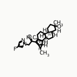 C[C@@H]1C2=C(C(=O)Cn3cc(F)cn3)[C@@]3(C)CC[C@H]4[C@@H](CC[C@@H]5C[C@](C)(O)CC[C@@H]54)[C@@H]3[C@@H]21